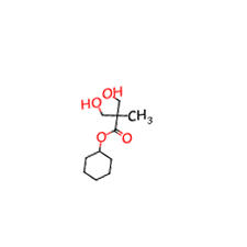 CC(CO)(CO)C(=O)OC1CCCCC1